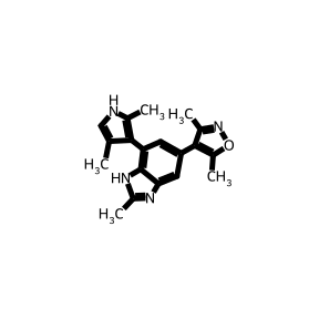 Cc1nc2cc(-c3c(C)noc3C)cc(-c3c(C)c[nH]c3C)c2[nH]1